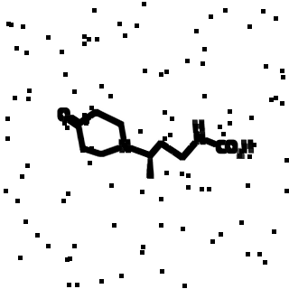 C[C@H](CCNC(=O)O)N1CCC(=O)CC1